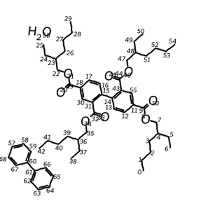 CCCCC(CC)COC(=O)c1ccc(-c2ccc(C(=O)OCC(CC)CCCC)cc2C(=O)OCC(CC)CCCC)c(C(=O)OCC(CC)CCCC)c1.O.c1ccc(-c2ccccc2)cc1